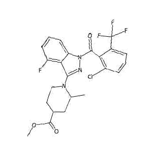 COC(=O)C1CCN(c2nn(C(=O)c3c(Cl)cccc3C(F)(F)F)c3cccc(F)c23)C(C)C1